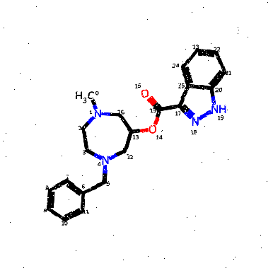 CN1CCN(Cc2ccccc2)CC(OC(=O)c2n[nH]c3ccccc23)C1